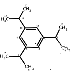 CC(C)c1[c]c(C(C)C)cc(C(C)C)c1